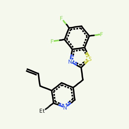 C=CCc1cc(Cc2nc3c(F)c(F)cc(F)c3s2)cnc1CC